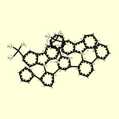 CC(C)(C)c1ccc2c(c1)c1ccccc1n2-c1c(-c2ccccc2)cccc1-c1cc(-c2cccc(-c3ccccc3)c2-n2c3ccccc3c3cc(C(C)(C)C)ccc32)nc(-c2ccccc2)n1